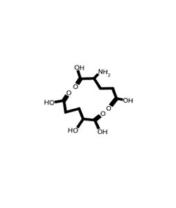 NC(CCC(=O)O)C(=O)O.O=C(O)CCC(O)C(=O)O